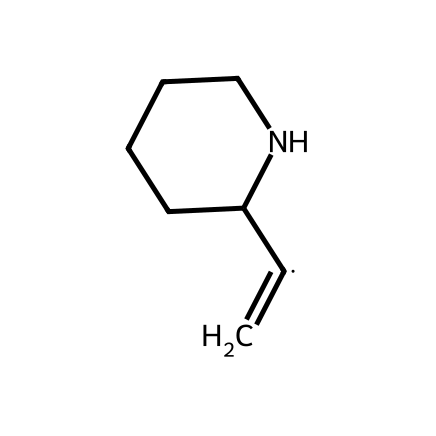 C=[C]C1CCCCN1